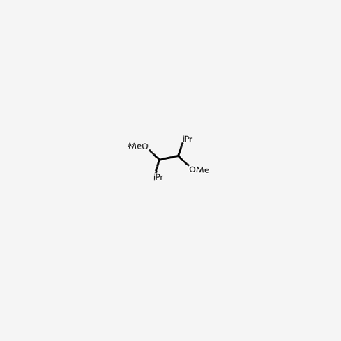 COC(C(C)C)C(OC)C(C)C